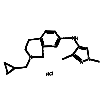 Cc1nn(C)cc1Nc1ccc2c(c1)CN(CC1CC1)CC2.Cl